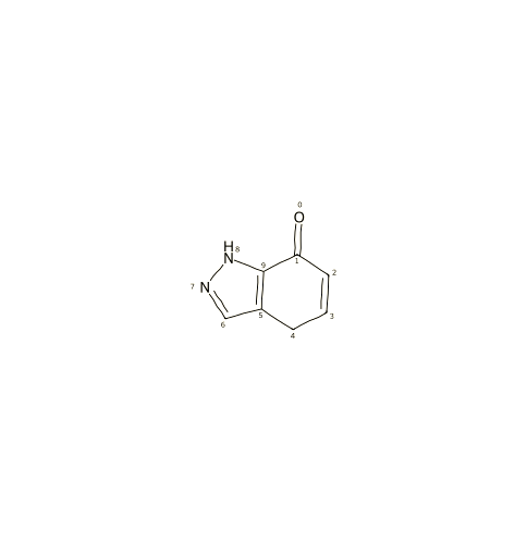 O=C1C=CCc2cn[nH]c21